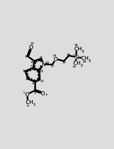 COC(=O)c1ccc2c(C=O)cn(COCC[Si](C)(C)C)c2c1